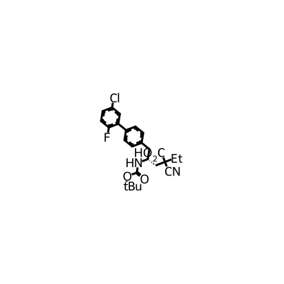 CCC(C#N)(C[C@@H](Cc1ccc(-c2cc(Cl)ccc2F)cc1)NC(=O)OC(C)(C)C)C(=O)O